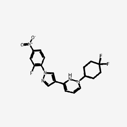 O=[N+]([O-])c1ccc(-n2cc(C3=CC=CN(C4CCC(F)(F)CC4)N3)cn2)c(F)c1